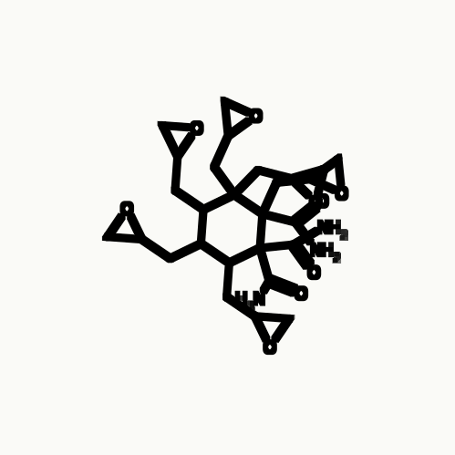 NC(=O)C1(C(N)=O)C(CC2CO2)C(CC2CO2)C(CC2CO2)C(CC2CO2)(CC2CO2)C1(CC1CO1)C(N)=O